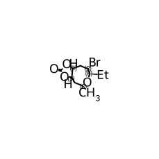 CC[C@H]1O[C@@H](C)C[C@@H]2OC(=O)O[C@@H]2C[C@@H]1Br